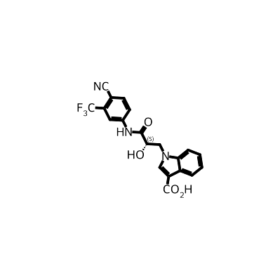 N#Cc1ccc(NC(=O)[C@@H](O)Cn2cc(C(=O)O)c3ccccc32)cc1C(F)(F)F